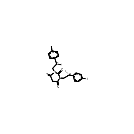 Cc1ccc([C@@H](F)CN2C(=O)CC(=O)N(C[C@H](F)c3ccc(Cl)cc3)C2=O)cc1